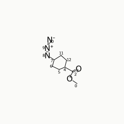 COC(=O)C1CCC(N=[N+]=[N-])CC1